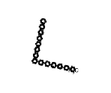 O.c1ccccc1.c1ccccc1.c1ccccc1.c1ccccc1.c1ccccc1.c1ccccc1.c1ccccc1.c1ccccc1.c1ccccc1.c1ccccc1.c1ccccc1.c1ccccc1.c1ccccc1.c1ccccc1